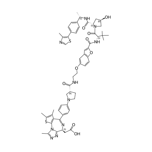 Cc1ncsc1-c1ccc([C@H](C)NC(=O)[C@@H]2C[C@@H](O)CN2C(=O)[C@@H](NC(=O)c2cc3cc(OCCNC(=O)[C@@H]4CCN(c5ccc(C6=N[C@@H](CC(=O)O)c7nnc(C)n7-c7sc(C)c(C)c76)cc5)C4)ccc3o2)C(C)(C)C)cc1